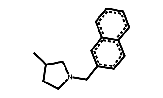 CC1CCN(Cc2ccc3ccccc3c2)C1